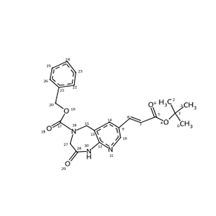 CC(C)(C)OC(=O)C=Cc1cnc2c(c1)CN(C(=O)OCc1ccccc1)CC(=O)N2